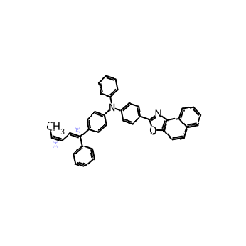 C/C=C\C=C(/c1ccccc1)c1ccc(N(c2ccccc2)c2ccc(-c3nc4c(ccc5ccccc54)o3)cc2)cc1